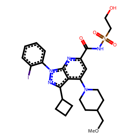 COCC1CCN(c2cc(C(=O)NS(=O)(=O)CCO)nc3c2c(C2CCC2)nn3-c2ccccc2I)CC1